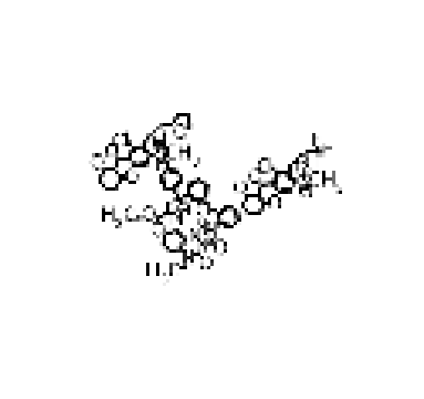 CCN(C(=O)n1nnn(-c2ccccc2Cl)c1=O)C1CCCCC1.CCOC(=O)C1=NOC(c2ccccc2)(c2ccccc2)C1.CS(=O)(=O)c1ccc(C(=O)C2C(=O)CCCC2=O)c(Cl)c1COCC(F)(F)F.CS(=O)(=O)c1ccc(C(=O)C2C(=O)CCCC2=O)c(Cl)c1COCC1CCCO1